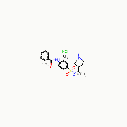 Cc1ccccc1C(=O)Nc1ccc(S(=O)(=O)N[C@H](C)C2CCNCC2)cc1C(F)(F)F.Cl